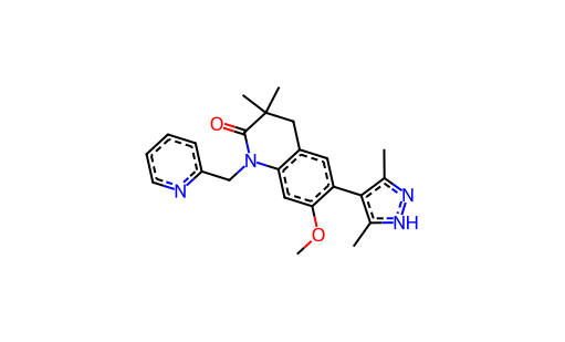 COc1cc2c(cc1-c1c(C)n[nH]c1C)CC(C)(C)C(=O)N2Cc1ccccn1